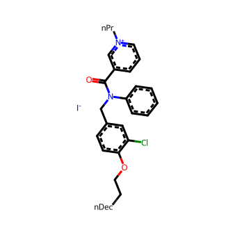 CCCCCCCCCCCCOc1ccc(CN(C(=O)c2ccc[n+](CCC)c2)c2ccccc2)cc1Cl.[I-]